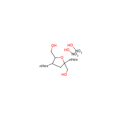 CCCCCCC1CC(CO)(CCCCCC)OC1CO.O=[N+]([O-])O.O=[N+]([O-])O